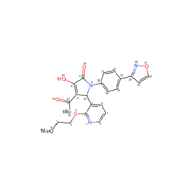 COCCOc1ncccc1C1C(C(=O)C(C)(C)C)=C(O)C(=O)N1c1ccc(-c2ccon2)cc1